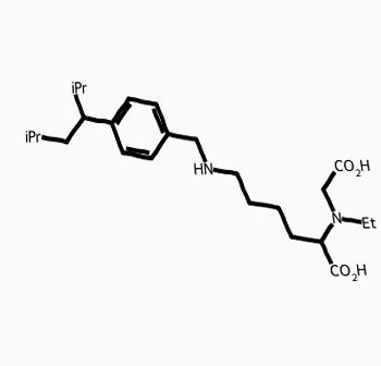 CCN(CC(=O)O)C(CCCCNCc1ccc(C(CC(C)C)C(C)C)cc1)C(=O)O